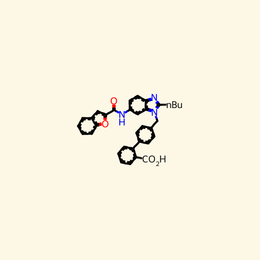 CCCCc1nc2ccc(NC(=O)c3cc4ccccc4o3)cc2n1Cc1ccc(-c2ccccc2C(=O)O)cc1